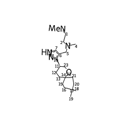 CNCCN(C)Cc1c[nH]nc1[C@@H]1CCC2(CCC(C)(C)CC2)OC1